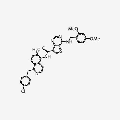 COc1ccc(CNc2ncnc3c(C(=O)Nc4c(C)ccc5c(Cc6ccc(Cl)cc6)nccc45)csc23)c(OC)c1